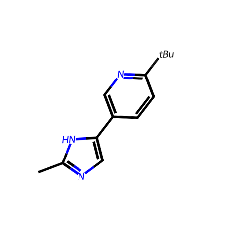 Cc1ncc(-c2ccc(C(C)(C)C)nc2)[nH]1